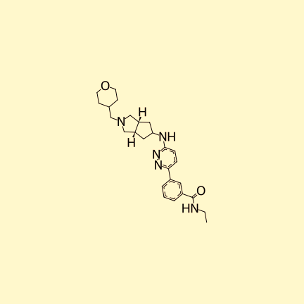 CCNC(=O)c1cccc(-c2ccc(NC3C[C@@H]4CN(CC5CCOCC5)C[C@@H]4C3)nn2)c1